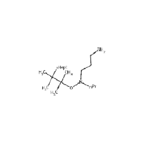 CCCCCCCC(C)(C)C(C)(C)ON(CCC)CCCN